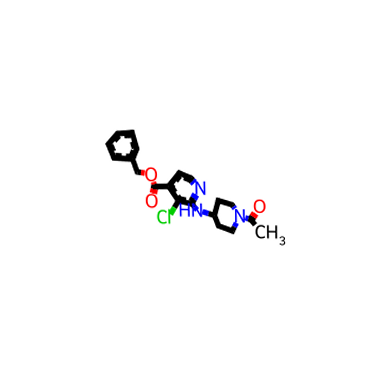 CC(=O)N1CCC(Nc2nccc(C(=O)OCc3ccccc3)c2Cl)CC1